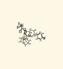 O=C(ON1N=C(C23CC4CC(CC(C4)C2)C3)N2CC(c3ccc(F)cc3)CCC12)C(F)(F)F